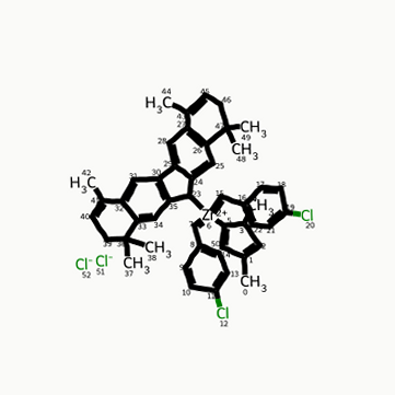 CC1=CC(C)[C]([Zr+2](=[CH]c2ccc(Cl)cc2)(=[CH]c2ccc(Cl)cc2)[CH]2c3cc4c(cc3-c3cc5c(cc32)C(C)(C)CC=C5C)C(C)=CCC4(C)C)=C1.[Cl-].[Cl-]